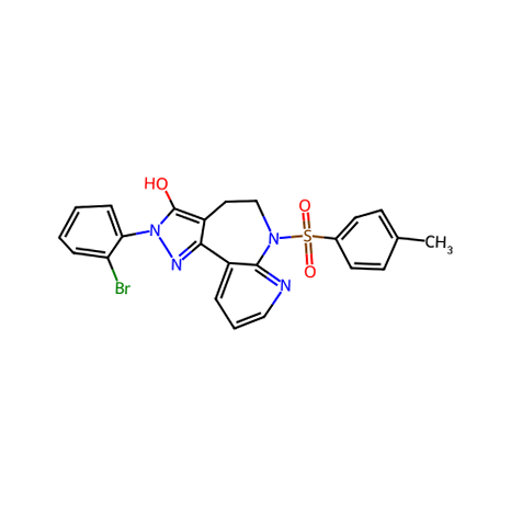 Cc1ccc(S(=O)(=O)N2CCc3c(nn(-c4ccccc4Br)c3O)-c3cccnc32)cc1